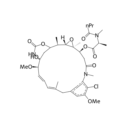 CCCC(=O)N(C)[C@@H](C)C(=O)O[C@H]1CC(=O)N(C)c2cc(cc(OC)c2Cl)C/C(C)=C/C=C/[C@@H](OC)[C@@]2(O)CC(OC(=O)N2)[C@@H](C)[C@@H]2O[C@@]12C